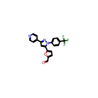 O=Cc1ccc(-c2cc(-c3ccncc3)nn2-c2ccc(C(F)(F)F)cc2)o1